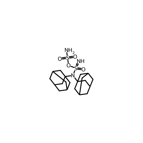 N=S(=O)(OS(N)(=O)=O)N(C12CC3CC(CC(C3)C1)C2)C12CC3CC(CC(C3)C1)C2